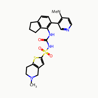 CNc1ccncc1-c1ccc2c(c1NC(=O)NS(=O)(=O)c1cc3c(s1)CCN(C)C3)CCC2